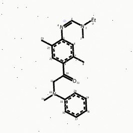 CCN(C)/C=N\c1cc(C)c(C(=O)CN(C)c2ccccc2)cc1C